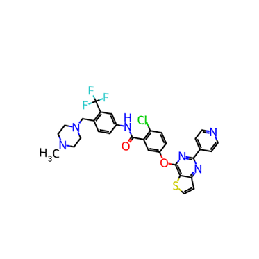 CN1CCN(Cc2ccc(NC(=O)c3cc(Oc4nc(-c5ccncc5)nc5ccsc45)ccc3Cl)cc2C(F)(F)F)CC1